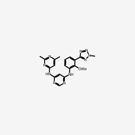 COc1c(Nc2cc(Nc3cc(C)nc(C)n3)ncn2)cccc1-c1nnn(C)n1